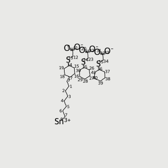 CCCCCCC[CH2][Sn+3].O=C([O-])CSC1CCCCC1.O=C([O-])CSC1CCCCC1.O=C([O-])CSC1CCCCC1